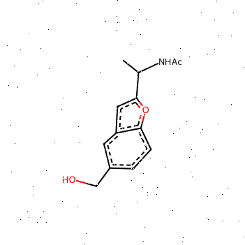 CC(=O)NC(C)c1cc2cc(CO)ccc2o1